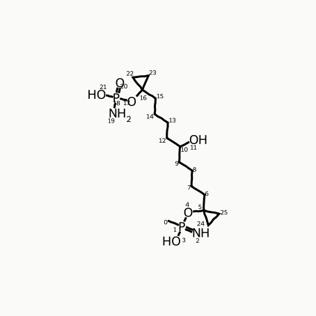 CP(=N)(O)OC1(CCCCC(O)CCCCC2(OP(N)(=O)O)CC2)CC1